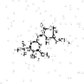 CCC(=O)NC(=Cc1cc(C)c(N)c(C(F)(F)F)c1)C(=O)O